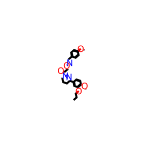 CCCOc1cc(C2=NN(C(=O)CON=Cc3ccc(OC)cc3)CCC2)ccc1OC